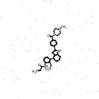 C=CC(=O)Nc1cccc(-c2cccc3[nH]c(-c4ccc(C(=O)N5CCN(C)CC5)cc4)cc23)c1CN